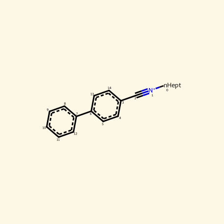 CCCCCCC[N+]#Cc1ccc(-c2ccccc2)cc1